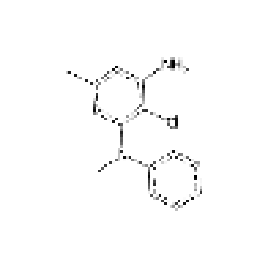 Cc1cc(N)c(Cl)c(N(C)c2ccccc2)c1